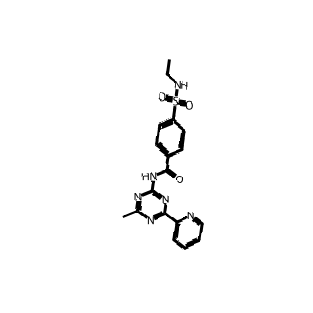 CCNS(=O)(=O)c1ccc(C(=O)Nc2nc(C)nc(-c3ccccn3)n2)cc1